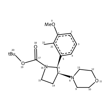 COc1cccc([C@H]2[C@@H](N3CCOCC3)CCN2C(=O)OC(C)(C)C)c1C